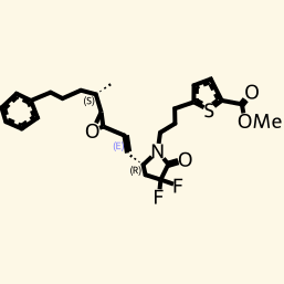 COC(=O)c1ccc(CCCN2C(=O)C(F)(F)C[C@@H]2/C=C/C2OC2[C@@H](C)CCCc2ccccc2)s1